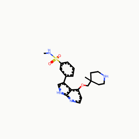 CNS(=O)(=O)c1cccc(-c2c[nH]c3nccc(OCC4(C)CCNCC4)c23)c1